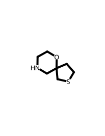 C1COC2(CCSC2)CN1